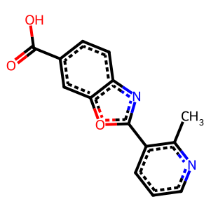 Cc1ncccc1-c1nc2ccc(C(=O)O)cc2o1